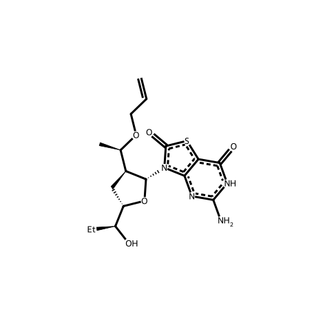 C=CCO[C@H](C)[C@@H]1C[C@@H]([C@@H](O)CC)O[C@H]1n1c(=O)sc2c(=O)[nH]c(N)nc21